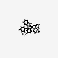 Cc1ccc(C(CC2=COCO2)(c2nc3ccccc3n2Cc2ccc(F)cc2F)N2CCNCC2)cc1